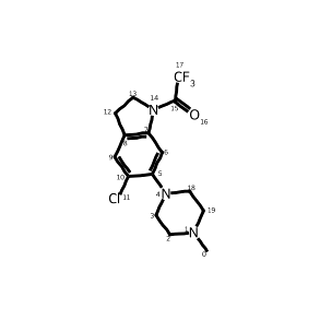 CN1CCN(c2cc3c(cc2Cl)CCN3C(=O)C(F)(F)F)CC1